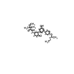 CCC[C@@H](C)Oc1ccc(-c2nc(O)nc(-c3cc(CNC(=O)C(C)(C)OC)ccc3Cl)n2)cn1